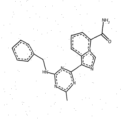 Cc1nc(NCc2ccccc2)nc(-c2ncn3c(C(N)=O)cccc23)n1